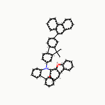 CC1(C)c2cc(-c3cc4ccccc4c4ccccc34)ccc2-c2ccc(N(c3ccccc3-c3ccccc3)c3cccc4c3oc3ccccc34)cc21